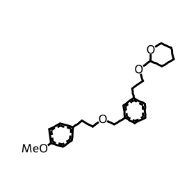 COc1ccc(CCOCc2cccc(CCOC3CCCCO3)c2)cc1